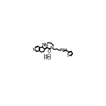 Cl.Cl.O=C1c2c3c(nn2CCCN1CCCNCCc1cccs1)-c1ccncc1CC3